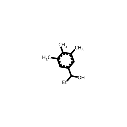 CCC(O)c1cc(C)c(C)c(C)c1